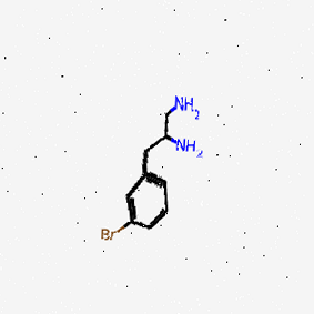 NCC(N)Cc1cccc(Br)c1